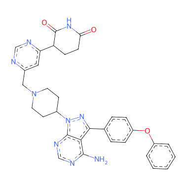 Nc1ncnc2c1c(-c1ccc(Oc3ccccc3)cc1)nn2C1CCN(Cc2cc(C3CCC(=O)NC3=O)ncn2)CC1